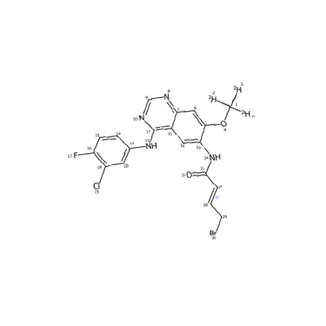 [2H]C([2H])([2H])Oc1cc2ncnc(Nc3ccc(F)c(Cl)c3)c2cc1NC(=O)/C=C/CBr